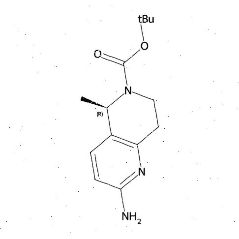 C[C@@H]1c2ccc(N)nc2CCN1C(=O)OC(C)(C)C